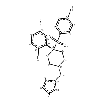 O=S(=O)(c1ccc(Cl)cc1)[C@]1(c2cc(F)ccc2F)CC[C@H](Cn2cncn2)CC1